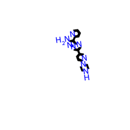 Nc1nn2cc(-c3ccc(N4CCNCC4)nc3)cnc2c1-c1ccccn1